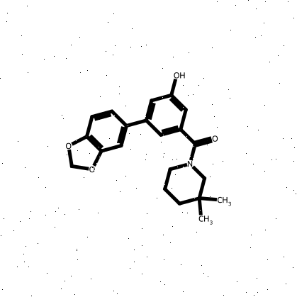 CC1(C)CCCN(C(=O)c2cc(O)cc(-c3ccc4c(c3)OCO4)c2)C1